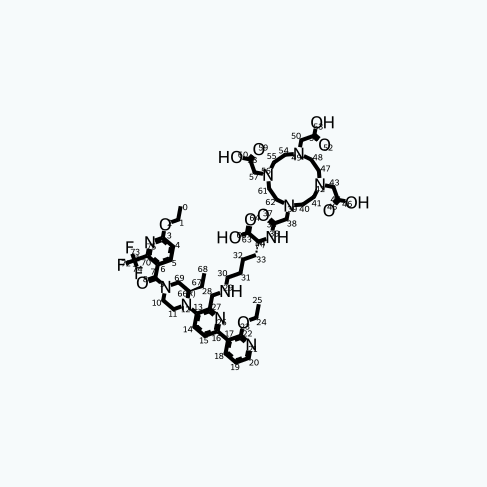 CCOc1ccc(C(=O)N2CCN(c3ccc(-c4cccnc4OCC)nc3CNCCCC[C@@H](NC(=O)CN3CCN(CC(=O)O)CCN(CC(=O)O)CCN(CC(=O)O)CC3)C(=O)O)[C@H](CC)C2)c(C(F)(F)F)n1